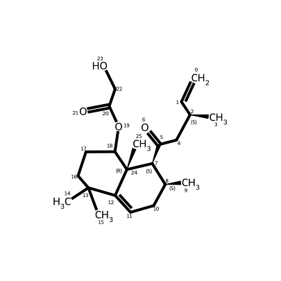 C=C[C@@H](C)CC(=O)[C@H]1[C@@H](C)CC=C2C(C)(C)CCC(OC(=O)CO)[C@@]21C